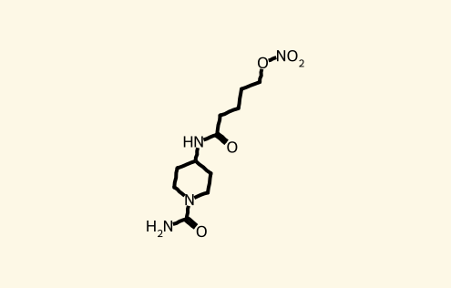 NC(=O)N1CCC(NC(=O)CCCCO[N+](=O)[O-])CC1